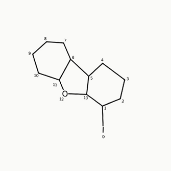 IC1CCCC2C3CCCCC3OC12